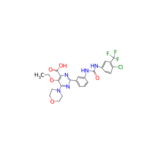 CCOc1c(C(=O)O)nc(-c2cccc(NC(=O)Nc3ccc(Cl)c(C(F)(F)F)c3)c2)nc1N1CCOCC1